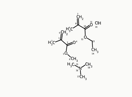 C=C(C)C(=O)OC.C=C(C)C(=O)OCC.CN(C)C.Cl